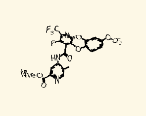 COC(=O)c1cc(NC(=O)c2c(Oc3ccc(OC(F)(F)F)cc3OC)cnc(C(F)(F)F)c2F)c(C)cn1